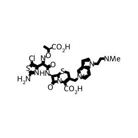 CNCCn1ccc2c[n+](CC3=C(C(=O)O)N4C(=O)[C@@H](NC(=O)/C(=N\O[C@@H](C)C(=O)O)c5nc(N)sc5Cl)C4SC3)ccc21